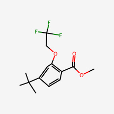 COC(=O)c1ccc(C(C)(C)C)cc1OCC(F)(F)F